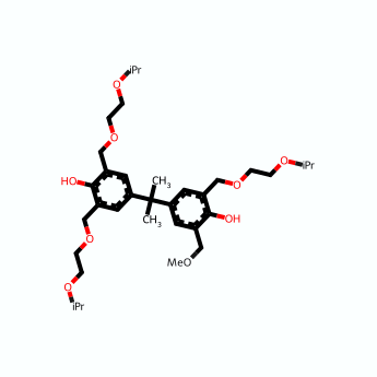 COCc1cc(C(C)(C)c2cc(COCCOC(C)C)c(O)c(COCCOC(C)C)c2)cc(COCCOC(C)C)c1O